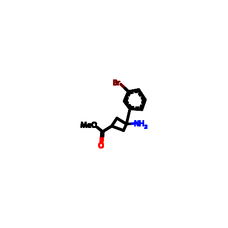 COC(=O)C1CC(N)(c2cccc(Br)c2)C1